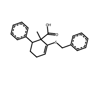 CC1(C(=O)O)C(SCc2ccccc2)=CCCC1c1ccccc1